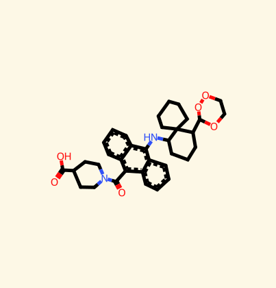 O=C(O)C1CCN(C(=O)c2c3ccccc3c(NC3CCCC(C4OCCOO4)C34CCCCC4)c3ccccc23)CC1